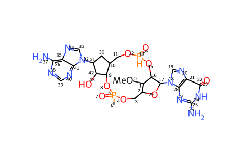 COC1C2COP(C)(=O)OC3C(CO[PH](=O)OC1C(n1cnc4c(=O)[nH]c(N)nc41)O2)CC(n1cnc2c(N)ncnc21)C3O